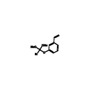 C=Cc1cccc(O[Si](CC)(OC)OC)c1